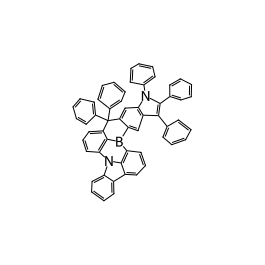 c1ccc(-c2c(-c3ccccc3)n(-c3ccccc3)c3cc4c(cc23)B2c3c(cccc3C4(c3ccccc3)c3ccccc3)-n3c4ccccc4c4cccc2c43)cc1